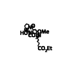 CCOC(=O)CCCCCOc1cc2c(cc1OC)C(=O)N1CCCC[C@H]1[C@H](O)N2C(=O)O